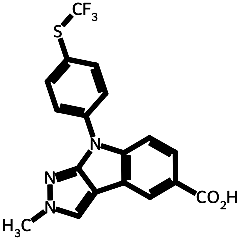 Cn1cc2c3cc(C(=O)O)ccc3n(-c3ccc(SC(F)(F)F)cc3)c2n1